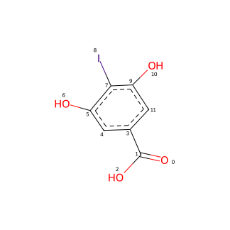 O=C(O)c1cc(O)c(I)c(O)c1